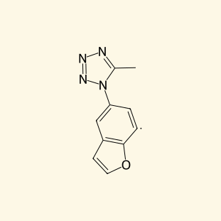 Cc1nnnn1-c1c[c]c2occc2c1